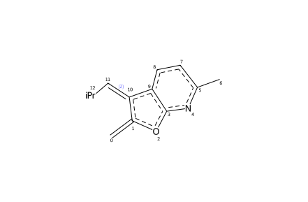 C=c1oc2nc(C)ccc2/c1=C/C(C)C